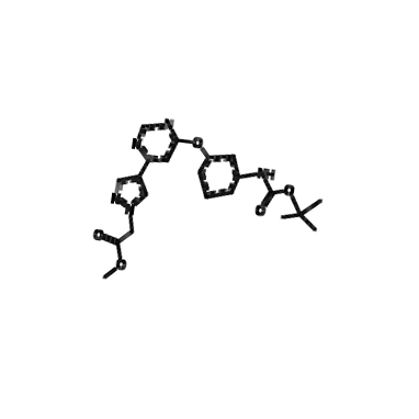 COC(=O)Cn1cc(-c2cc(Oc3cccc(NC(=O)OC(C)(C)C)c3)ncn2)cn1